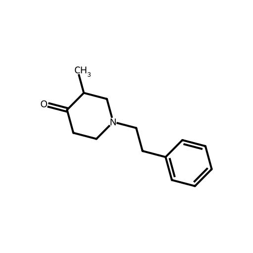 CC1CN(CCc2ccccc2)CCC1=O